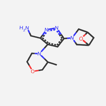 CC1COCCN1c1cc(N2CC3CC(C2)O3)nnc1CN